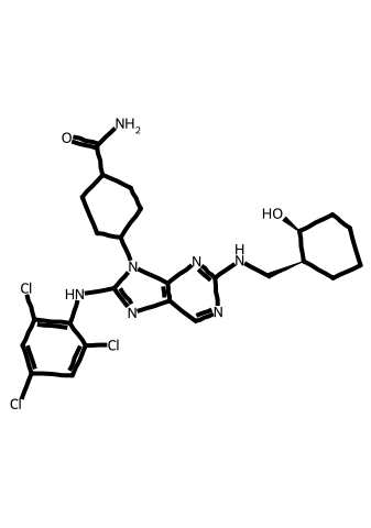 NC(=O)C1CCC(n2c(Nc3c(Cl)cc(Cl)cc3Cl)nc3cnc(NC[C@@H]4CCCC[C@@H]4O)nc32)CC1